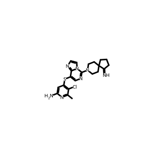 Cc1nc(N)cc(Sc2cnc(N3CCC4(CCCC4=N)CC3)n3ccnc23)c1Cl